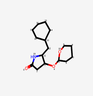 O=C1CC(OC2CCCCO2)C(CC2CCCCC2)N1